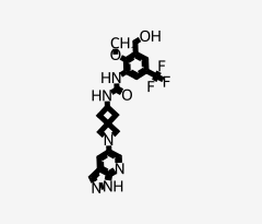 COc1c(CO)cc(C(F)(F)F)cc1NC(=O)NC1CC2(C1)CN(c1cnc3[nH]ncc3c1)C2